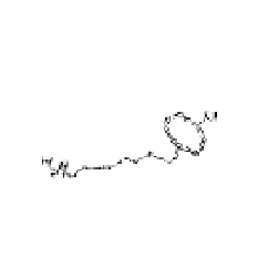 NCCCCCCCc1ccc(Cl)cc1